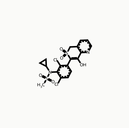 CS(=O)(=O)N(c1c(Cl)ccc(C2=C(O)c3ncccc3CS2(=O)=O)c1Cl)C1CC1